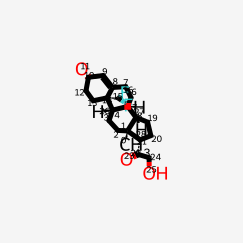 C[C@]12CC[C@H]3[C@@H](CCC4=CC(=O)CC[C@@]43C(F)F)[C@@H]1CC[C@@H]2C(=O)CO